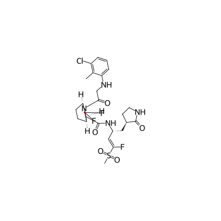 Cc1c(Cl)cccc1NCC(=O)N1[C@@H]2CC[C@H]([C@@H]1C(=O)N[C@@H](/C=C(\F)S(C)(=O)=O)C[C@H]1CCNC1=O)C(F)(F)C2